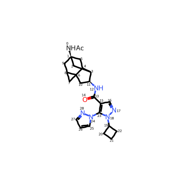 CC(=O)N[C@]12CC3C(C1)C1(CC1C2)C[C@@H]3NC(=O)c1cnn(C2CCC2)c1-n1cccn1